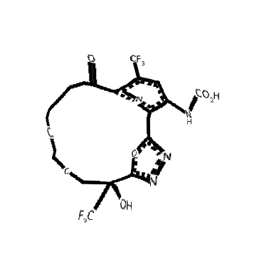 O=C(O)Nc1cc(C(F)(F)F)c2nc1-c1nnc(o1)C(O)(C(F)(F)F)CCCCCCC2=O